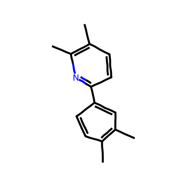 Cc1ccc(-c2ccc(C)c(C)n2)cc1C